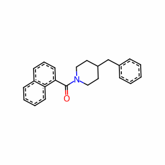 O=C(c1cccc2ccccc12)N1CCC(Cc2ccccc2)CC1